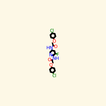 O=C(COc1ccc(Cl)cc1)Nc1cnc(NC(=O)COc2ccc(Cl)cc2)c(F)c1